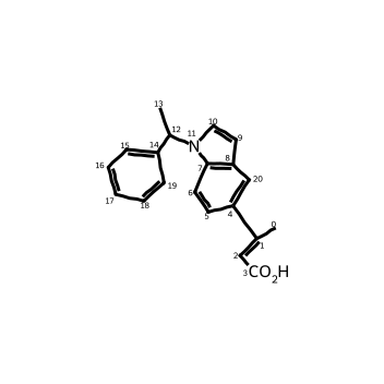 C/C(=C\C(=O)O)c1ccc2c(ccn2C(C)c2ccccc2)c1